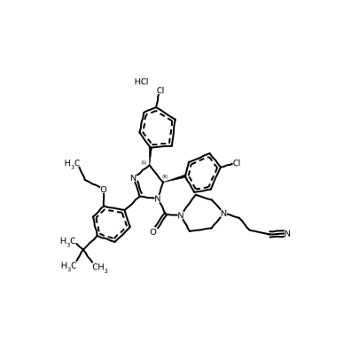 CCOc1cc(C(C)(C)C)ccc1C1=N[C@@H](c2ccc(Cl)cc2)[C@@H](c2ccc(Cl)cc2)N1C(=O)N1CCN(CCC#N)CC1.Cl